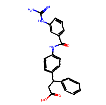 N=C(N)Nc1cccc(C(=O)Nc2ccc(C(CC(=O)O)c3ccccc3)cc2)c1